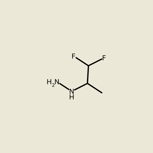 CC(NN)C(F)F